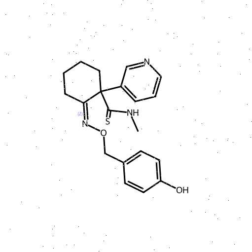 CNC(=S)C1(c2cccnc2)CCCC/C1=N/OCc1ccc(O)cc1